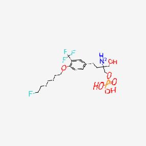 NC(CO)(CCc1ccc(OCCCCCCCF)c(C(F)(F)F)c1)COP(=O)(O)O